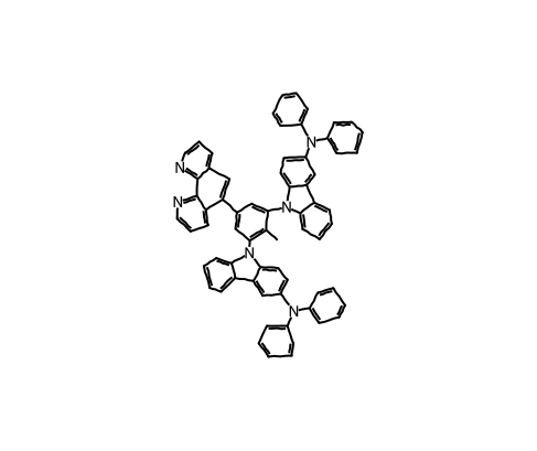 Cc1c(-n2c3ccccc3c3cc(N(c4ccccc4)c4ccccc4)ccc32)cc(-c2cc3cccnc3c3ncccc23)cc1-n1c2ccccc2c2cc(N(c3ccccc3)c3ccccc3)ccc21